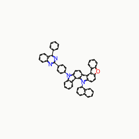 c1ccc(-c2nc(-c3ccc(-n4c5ccccc5c5c4ccc4c6c7c(ccc6n(-c6cccc8ccccc68)c45)oc4ccccc47)cc3)nc3ccccc23)cc1